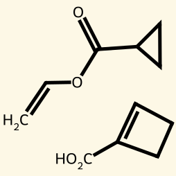 C=COC(=O)C1CC1.O=C(O)C1=CCC1